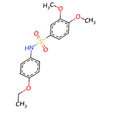 CCOc1ccc(NS(=O)(=O)c2ccc(OC)c(OC)c2)cc1